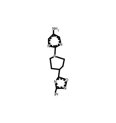 CC(C)c1noc(C2CCN(c3ncc(N)cn3)CC2)n1